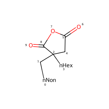 CCCCCCCCCCC1(CCCCCC)CC(=O)OC1=O